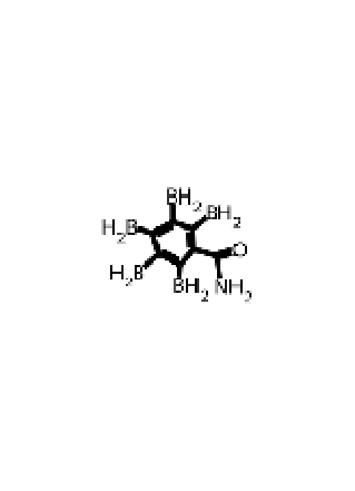 Bc1c(B)c(B)c(C(N)=O)c(B)c1B